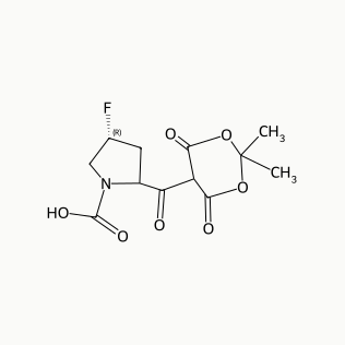 CC1(C)OC(=O)C(C(=O)C2C[C@@H](F)CN2C(=O)O)C(=O)O1